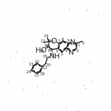 Cc1cnc2cc3c(cc2n1)OC(C)(C)[C@H](O)[C@H]3NCCc1ccccc1